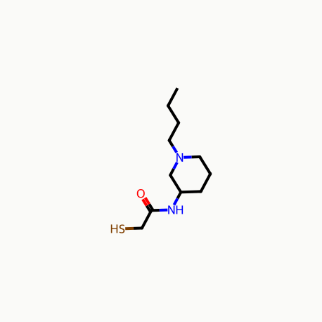 CCCCN1CCCC(NC(=O)CS)C1